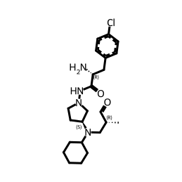 C[C@@H](C=O)CN(C1CCCCC1)[C@H]1CCN(NC(=O)[C@H](N)Cc2ccc(Cl)cc2)C1